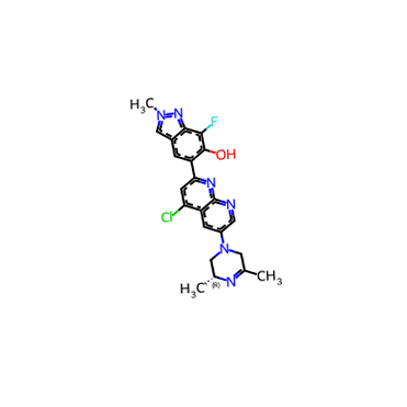 CC1=N[C@H](C)CN(c2cnc3nc(-c4cc5cn(C)nc5c(F)c4O)cc(Cl)c3c2)C1